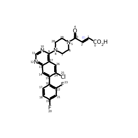 O=C(O)/C=C/C(=O)N1CCN(c2ncnc3cc(-c4ccc(F)cc4F)c(Cl)cc23)CC1